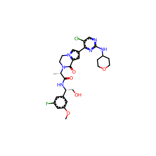 COc1cc(F)cc([C@@H](CO)NC(=O)[C@H](C)N2CCn3cc(-c4nc(NC5CCOCC5)ncc4Cl)cc3C2=O)c1